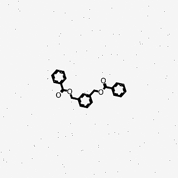 O=C(OCc1cccc(COC(=O)c2ccccc2)c1)c1ccccc1